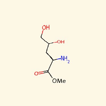 COC(=O)C(N)CC(O)CO